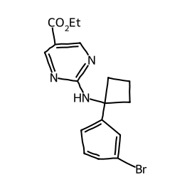 CCOC(=O)c1cnc(NC2(c3cccc(Br)c3)CCC2)nc1